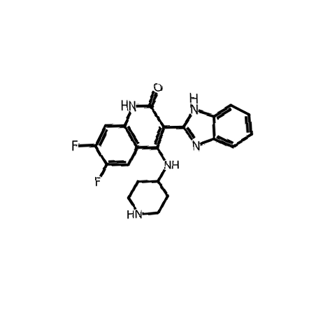 O=c1[nH]c2cc(F)c(F)cc2c(NC2CCNCC2)c1-c1nc2ccccc2[nH]1